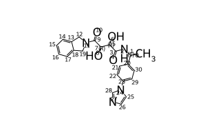 C[C@H](NC(=O)[C@H](O)[C@@H](O)C(=O)N1Cc2ccccc2C1)c1ccc(-n2ccnc2)cc1